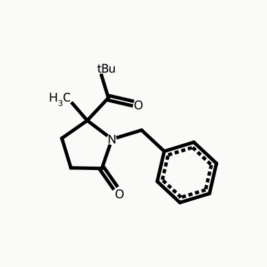 CC(C)(C)C(=O)C1(C)CCC(=O)N1Cc1ccccc1